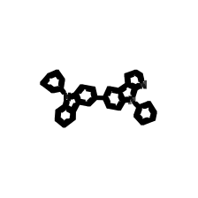 c1ccc(-n2c3ccccc3c3cc(-c4ccc5c(c4)c4cccnc4n5-c4ccccc4)ccc32)cc1